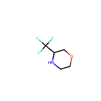 FC(F)(F)C1COC[CH]N1